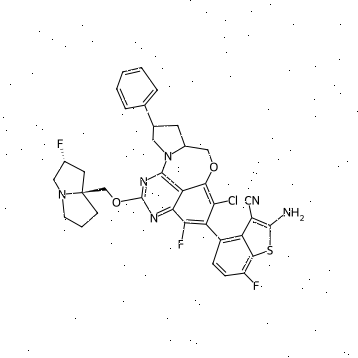 N#Cc1c(N)sc2c(F)ccc(-c3c(Cl)c4c5c(nc(OC[C@@]67CCCN6C[C@H](F)C7)nc5c3F)N3CC(c5ccccc5)CC3CO4)c12